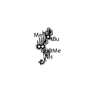 COc1nc(NCCN2CCCC2)nc(Oc2ccc(NC(=O)Nc3cc(C(C)(C)C)cc(NS(C)(=O)=O)c3OC)c3ccccc23)n1